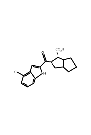 O=C(O)[C@@H]1C2CCCC2CN1C(=O)c1cc2c(Cl)cccc2[nH]1